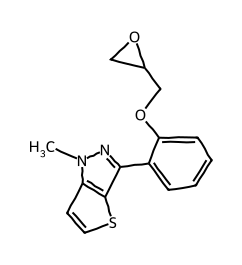 Cn1nc(-c2ccccc2OCC2CO2)c2sccc21